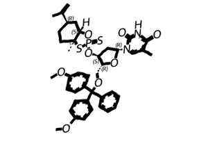 C=C(C)[C@@H]1CC[C@]2(C)SP(=S)(O[C@H]3C[C@H](n4cc(C)c(=O)[nH]c4=O)O[C@@H]3COC(c3ccccc3)(c3ccc(OC)cc3)c3ccc(OC)cc3)O[C@H]2C1